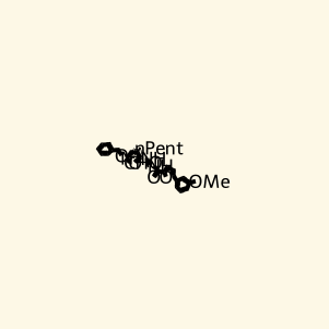 CCCCC[C@H](CN(C=O)OCc1ccccc1)C(=O)NCNC(=O)c1ccc(-c2cccc(OC)c2)o1